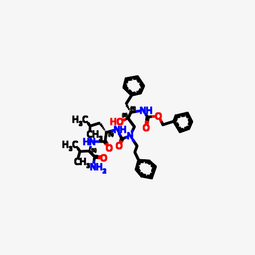 CC(C)C[C@H](NC(=O)N(CCc1ccccc1)C[C@@H](O)[C@H](Cc1ccccc1)NC(=O)OCc1ccccc1)C(=O)N[C@H](C(N)=O)C(C)C